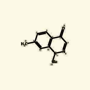 Cc1ccc2c(=O)cnn(C(C)(C)C)c2c1